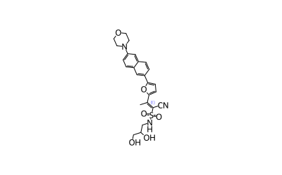 C/C(=C(/C#N)S(=O)(=O)NCC(O)CO)c1ccc(-c2ccc3cc(N4CCOCC4)ccc3c2)o1